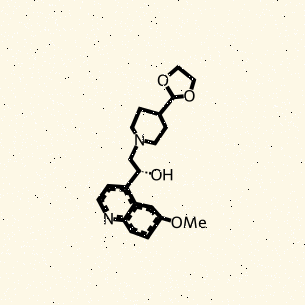 COc1ccc2nccc([C@@H](O)CN3CCC(C4OCCO4)CC3)c2c1